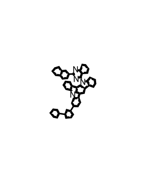 c1ccc(-c2cccc(-c3ccc4c5cc6c7ccccc7n(-c7nc(-c8ccc9ccccc9c8)nc8ccccc78)c6c6c7ccccc7n(c4c3)c56)c2)cc1